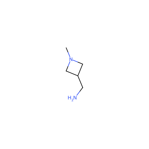 CN1CC(CN)C1